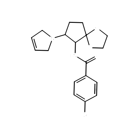 O=C(NC1C(N2CC=CC2)CCC12OCCO2)c1ccc(Br)cc1